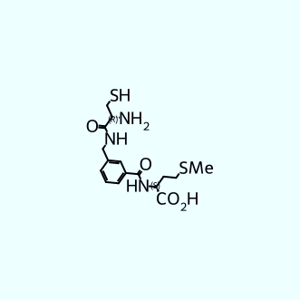 CSCC[C@H](NC(=O)c1cccc(CNC(=O)[C@@H](N)CS)c1)C(=O)O